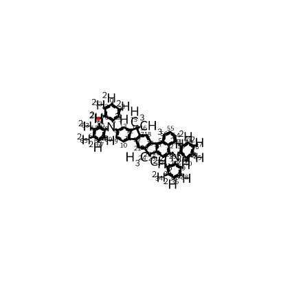 [2H]c1c([2H])c([2H])c(N(c2ccc3c(c2)C(C)(C)c2cc4c(cc2-3)C(C)(C)c2cc(N(c3c([2H])c([2H])c([2H])c([2H])c3[2H])c3c([2H])c([2H])c([2H])c([2H])c3[2H])c3ccccc3c2-4)c2c([2H])c([2H])c([2H])c([2H])c2[2H])c([2H])c1[2H]